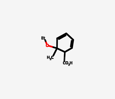 CCOC1(C)C=CC=CC1C(=O)O